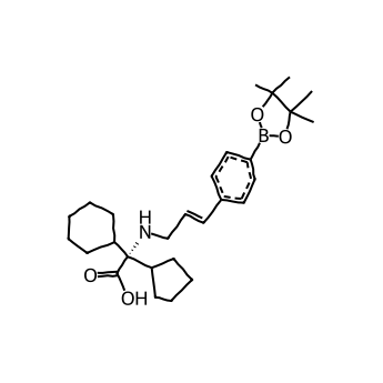 CC1(C)OB(c2ccc(/C=C/CN[C@](C(=O)O)(C3CCCCC3)C3CCCC3)cc2)OC1(C)C